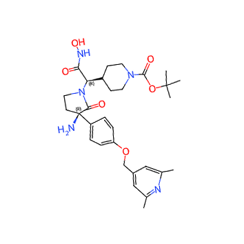 Cc1cc(COc2ccc([C@]3(N)CCN([C@@H](C(=O)NO)C4CCN(C(=O)OC(C)(C)C)CC4)C3=O)cc2)cc(C)n1